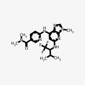 CC(C)C(Nc1cc(Nc2ccc(C(=O)N(C)C)cn2)c2ncn(C)c2n1)C(F)(F)F